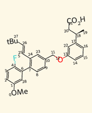 COc1ccc(F)c(-c2ccc(COc3cccc([C@H](C)CC(=O)O)c3)cc2C=CC(C)(C)C)c1